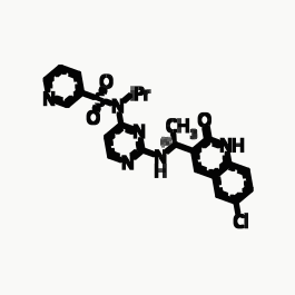 CC(C)N(c1ccnc(N[C@@H](C)c2cc3cc(Cl)ccc3[nH]c2=O)n1)S(=O)(=O)c1cccnc1